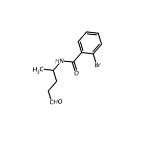 CC(CCC=O)NC(=O)c1ccccc1Br